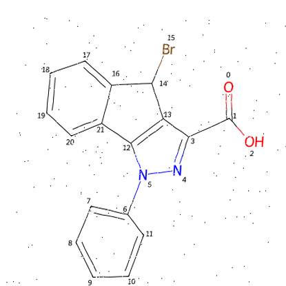 O=C(O)c1nn(-c2ccccc2)c2c1C(Br)c1ccccc1-2